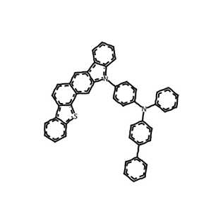 c1ccc(-c2ccc(N(c3ccccc3)c3ccc(-n4c5ccccc5c5cc6ccc7c8ccccc8sc7c6cc54)cc3)cc2)cc1